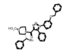 CC(C)(C)C(c1ccccc1)[C@@H]1CN(C(=O)O)CCN1C(=O)c1nnn(-c2cccc(OCc3ccccc3)c2)c1-c1ccccc1